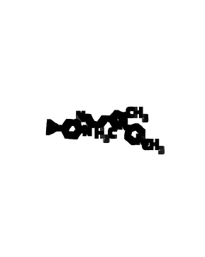 Cc1cc(/C=C/c2cnc3cc(C4CC4)ccc3n2)c(C)n1C1CCN(C)CC1